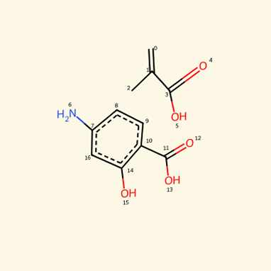 C=C(C)C(=O)O.Nc1ccc(C(=O)O)c(O)c1